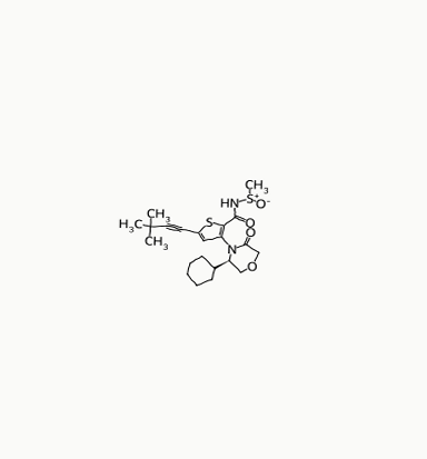 C[S+]([O-])NC(=O)c1sc(C#CC(C)(C)C)cc1N1C(=O)COC[C@H]1C1CCCCC1